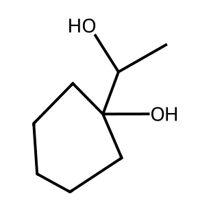 CC(O)C1(O)CCCCC1